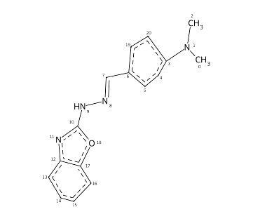 CN(C)c1ccc(C=NNc2nc3ccccc3o2)cc1